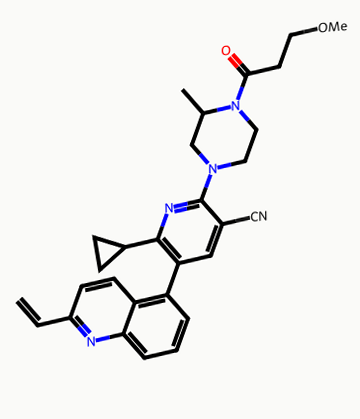 C=Cc1ccc2c(-c3cc(C#N)c(N4CCN(C(=O)CCOC)C(C)C4)nc3C3CC3)cccc2n1